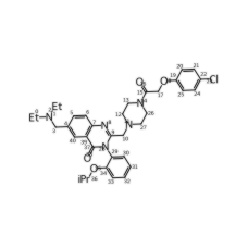 CCN(CC)Cc1ccc2nc(CN3CCN(C(=O)COc4ccc(Cl)cc4)CC3)n(-c3ccccc3OC(C)C)c(=O)c2c1